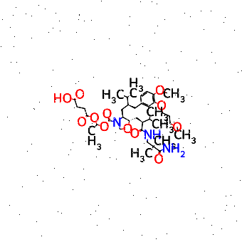 COCCCOc1cc(C[C@@H](C[C@H]2[C@H](C[C@H](C(=O)NCC(C)(C)C(N)=O)C(C)C)OCN2C(=O)OC(C)OC(=O)CCC(=O)O)C(C)C)ccc1OC